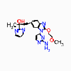 COCCOc1nc2ccc(C#CC(C)(O)c3ncccn3)cc2n1-c1ccnc(N)n1